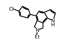 CCN1Cc2c(-c3ccc(Cl)cc3)cc3cc[nH]c3c2C1